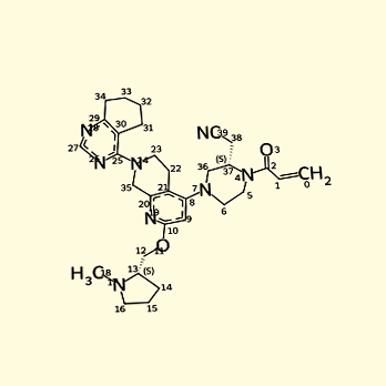 C=CC(=O)N1CCN(c2cc(OC[C@@H]3CCCN3C)nc3c2CCN(c2ncnc4c2CCCC4)C3)C[C@@H]1CC#N